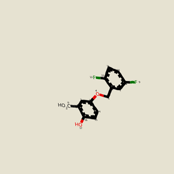 O=C(O)c1cc(OCc2cc(F)ccc2F)ccc1O